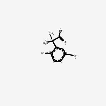 C[C@@](N)(C(=O)O)c1cc(Br)ccc1F